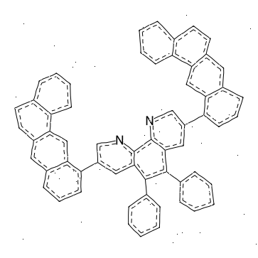 c1ccc(-c2c(-c3ccccc3)c3cc(-c4cccc5cc6ccc7ccccc7c6cc45)cnc3c3ncc(-c4cccc5cc6ccc7ccccc7c6cc45)cc23)cc1